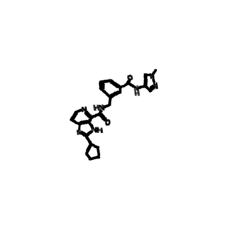 Cn1cc(NC(=O)c2cccc(CNC(=O)c3nccc4nc(C5CCCC5)[nH]c34)c2)cn1